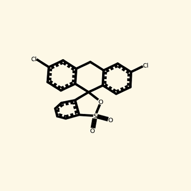 O=S1(=O)OC2(c3ccc(Cl)cc3Cc3cc(Cl)ccc32)c2ccccc21